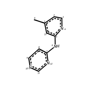 Cc1ccnc(Nc2ccncn2)c1